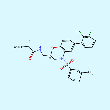 COC(C)C(=O)NC[C@H]1CN(S(=O)(=O)c2cccc(C(F)(F)F)c2)c2cc(-c3cccc(F)c3Cl)ccc2O1